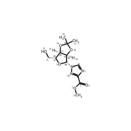 COC(=O)c1ncn([C@@H]2O[C@H](CO)[C@H]3OC(C)(C)O[C@H]32)n1